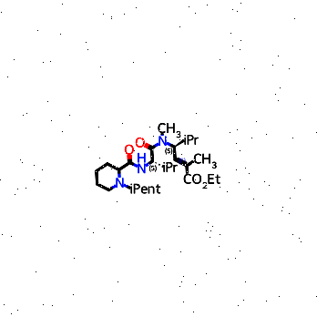 CCCC(C)N1CCCCC1C(=O)N[C@H](C(=O)N(C)[C@H](/C=C(\C)C(=O)OCC)C(C)C)C(C)C